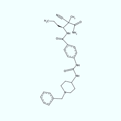 CCC[C@H](NC(=O)c1ccc(NC(=O)NC2CCN(Cc3ccccc3)CC2)cc1)C(C)(C#N)C(N)=O